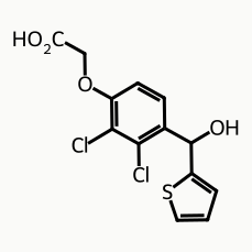 O=C(O)COc1ccc(C(O)c2cccs2)c(Cl)c1Cl